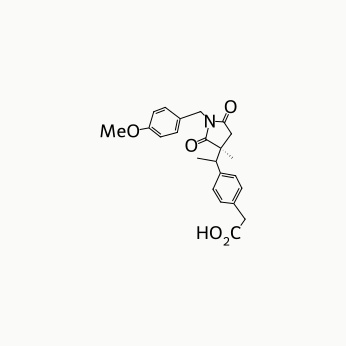 COc1ccc(CN2C(=O)C[C@@](C)(C(C)c3ccc(CC(=O)O)cc3)C2=O)cc1